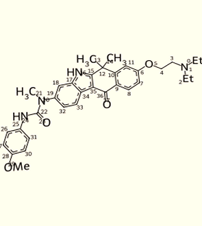 CCN(CC)CCOc1ccc2c(c1)C(C)(C)c1[nH]c3cc(N(C)C(=O)Nc4ccc(OC)cc4)ccc3c1C2=O